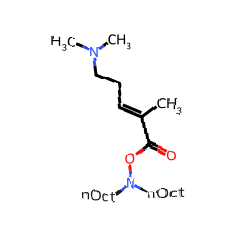 CCCCCCCCN(CCCCCCCC)OC(=O)C(C)=CCCN(C)C